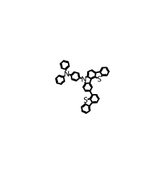 c1ccc(N(c2ccccc2)c2ccc(-n3c4ccc(-c5cccc6c5sc5ccccc56)cc4c4c5sc6ccccc6c5ccc43)cc2)cc1